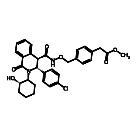 COC(=O)Cc1ccc(CONC(=O)[C@@H]2c3ccccc3C(=O)N([C@H]3CCCC[C@@H]3O)[C@H]2c2ccc(Cl)cc2)cc1